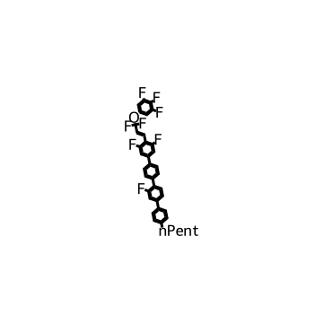 CCCCCc1ccc(-c2ccc(-c3ccc(-c4cc(F)c(/C=C/C(F)(F)Oc5cc(F)c(F)c(F)c5)c(F)c4)cc3)c(F)c2)cc1